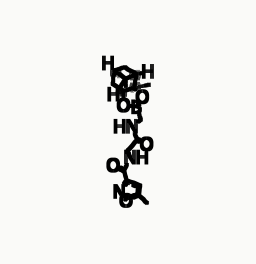 Cc1cc(C(=O)NCC(=O)NCB2O[C@@H]3C[C@@H]4C[C@@H](C4(C)C)[C@]3(C)O2)no1